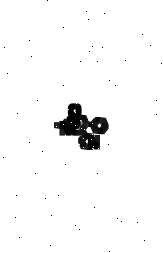 C=CCOC(=O)CC(c1ccccc1)C(C#N)c1cccnc1